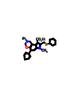 CCOC(=O)c1c(CSc2ccccc2)n(C)c2cc(-c3ccccc3)c3c(c12)CN(C(C)C)CO3